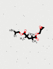 CCCCC(CC)COC(=O)C(C)(CC)CC(C)(C)C(=O)OCC1CO1